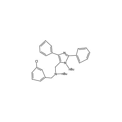 CCCCN(Cc1cccc(Cl)c1)Cc1c(-c2ccccc2)nc(-c2ccccc2)n1CCCC